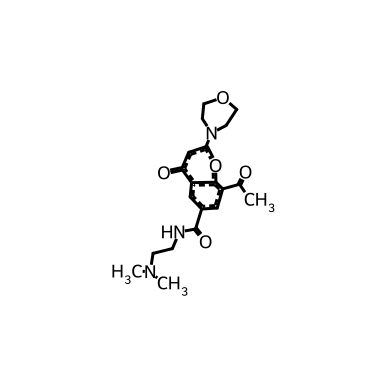 CC(=O)c1cc(C(=O)NCCN(C)C)cc2c(=O)cc(N3CCOCC3)oc12